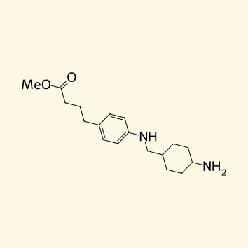 COC(=O)CCCc1ccc(NCC2CCC(N)CC2)cc1